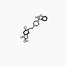 O[C@@H]1Cc2cc(CCN3CCN([C@H]4NSc5ccccc54)CC3)c(Cl)cc2N1